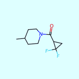 CC1CCN(C(=O)C2CC2(F)F)CC1